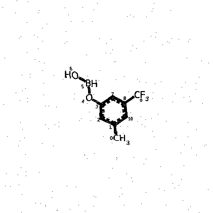 Cc1cc(OBO)cc(C(F)(F)F)c1